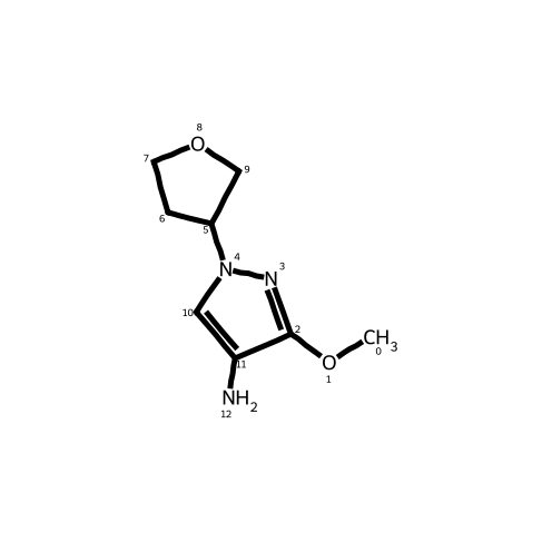 COc1nn(C2CCOC2)cc1N